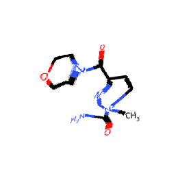 C[N+]1(C(N)=O)C=[C]C(C(=O)N2CCOCC2)=N1